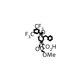 COCCOC(=O)CN(CC(=O)O)C1CCN(C(=O)c2cc(C(F)(F)F)cc(C(F)(F)F)c2)C(Cc2ccccc2)C1